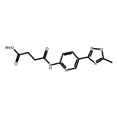 COC(=O)CCC(=O)Nc1ccc(-c2noc(C)n2)cn1